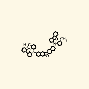 Cc1cccc(N(c2ccc3cc4oc5cc6ccc(N(c7cccc(C)c7)c7cccc8c7oc7ccccc78)cc6cc5c4cc3c2)c2cccc3c2oc2ccccc23)c1